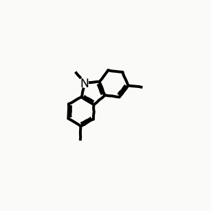 CC1=Cc2c(n(C)c3ccc(C)cc23)CC1